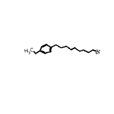 CCc1ccc(CCCCCCCCCBr)cc1